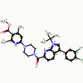 COC(=O)c1c(C)cc(N2CCN(C(=O)c3ccc4c(-c5ccc(Cl)c(F)c5)cn(C(C)(C)C)c4n3)CC2)nc1C